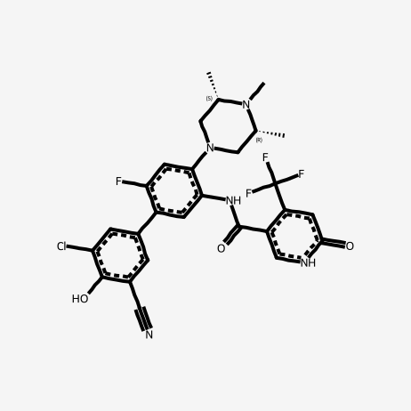 C[C@@H]1CN(c2cc(F)c(-c3cc(Cl)c(O)c(C#N)c3)cc2NC(=O)c2c[nH]c(=O)cc2C(F)(F)F)C[C@H](C)N1C